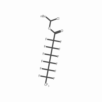 CCCCC(Cl)OC(=O)C(F)(F)C(F)(F)C(F)(F)C(F)(F)C(F)(F)C(F)(F)C(F)(F)F